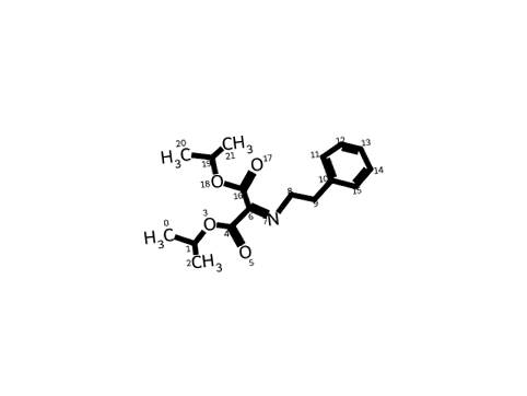 CC(C)OC(=O)C(=NCCc1ccccc1)C(=O)OC(C)C